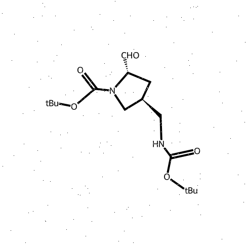 CC(C)(C)OC(=O)NC[C@@H]1C[C@@H](C=O)N(C(=O)OC(C)(C)C)C1